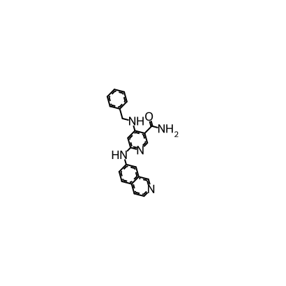 NC(=O)c1cnc(Nc2ccc3ccncc3c2)cc1NCc1ccccc1